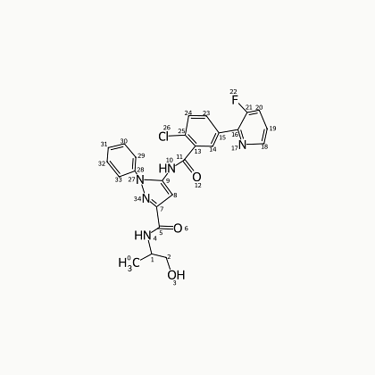 CC(CO)NC(=O)c1cc(NC(=O)c2cc(-c3ncccc3F)ccc2Cl)n(-c2ccccc2)n1